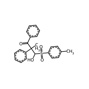 Cc1ccc(S(=O)(=O)C(O)C(C)(C(=O)c2ccccc2)c2ccccc2)cc1